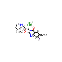 Br.Br.CO[C@@H]1CCCN[C@H]1CC(=O)Cn1cnc2cc(I)c(SC)cc2c1=O